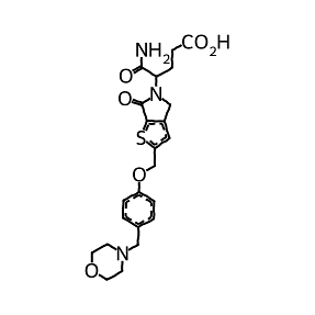 NC(=O)C(CCC(=O)O)N1Cc2cc(COc3ccc(CN4CCOCC4)cc3)sc2C1=O